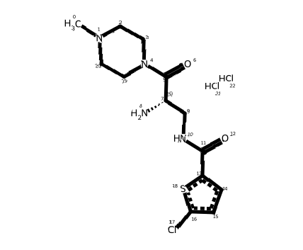 CN1CCN(C(=O)[C@@H](N)CNC(=O)c2ccc(Cl)s2)CC1.Cl.Cl